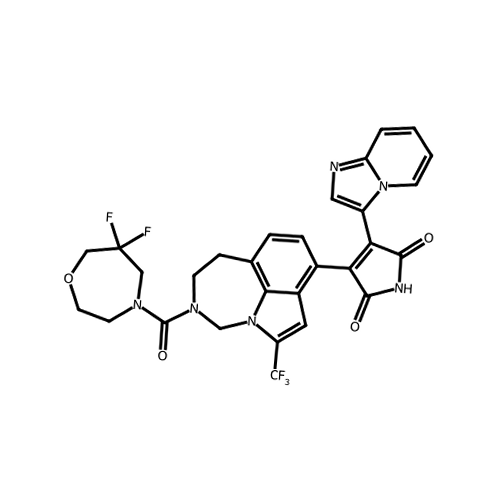 O=C1NC(=O)C(c2cnc3ccccn23)=C1c1ccc2c3c1cc(C(F)(F)F)n3CN(C(=O)N1CCOCC(F)(F)C1)CC2